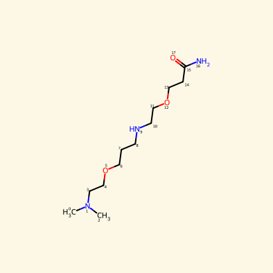 CN(C)CCOCCCNCCOCCC(N)=O